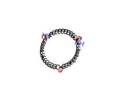 O=C1CCCCCCCCCCCCCC(=O)NCCCCCCCCCCC(=O)NCCCCCCCCCC1